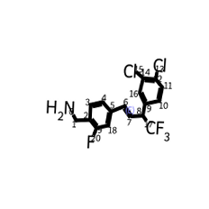 NCc1ccc(/C=C/C(c2ccc(Cl)c(Cl)c2)C(F)(F)F)cc1F